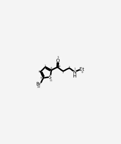 CCNCCC(=O)c1ccc(Br)s1